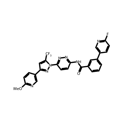 COc1ccc(-c2cc(C(F)(F)F)n(-c3ccc(NC(=O)c4cccc(-c5ccc(F)nc5)c4)nn3)n2)cn1